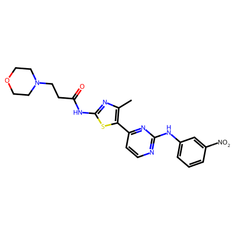 Cc1nc(NC(=O)CCN2CCOCC2)sc1-c1ccnc(Nc2cccc([N+](=O)[O-])c2)n1